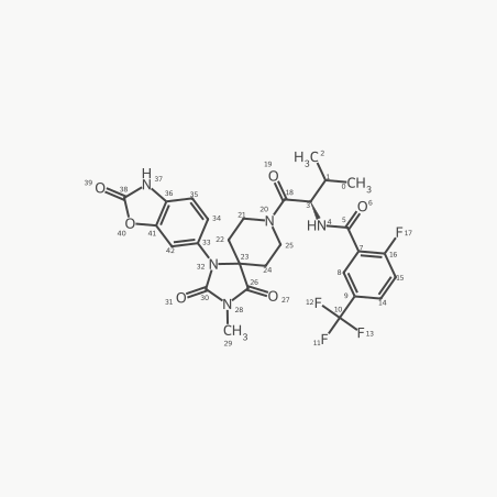 CC(C)[C@@H](NC(=O)c1cc(C(F)(F)F)ccc1F)C(=O)N1CCC2(CC1)C(=O)N(C)C(=O)N2c1ccc2[nH]c(=O)oc2c1